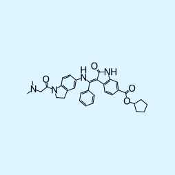 CN(C)CC(=O)N1CCc2cc(N/C(=C3\C(=O)Nc4cc(C(=O)OC5CCCC5)ccc43)c3ccccc3)ccc21